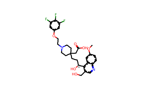 COc1ccc2ncc(CO)c([C@@H](O)CCC3(CC(=O)O)CCN(CCOc4cc(F)c(F)c(F)c4)CC3)c2c1